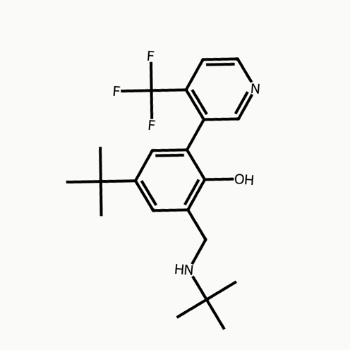 CC(C)(C)NCc1cc(C(C)(C)C)cc(-c2cnccc2C(F)(F)F)c1O